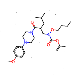 C=C(C)OC(=O)N(C[C@H](CC(C)C)C(=O)N1CCN(c2ccc(OC)cc2)CC1)OCCCC